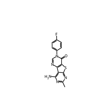 Cc1nc(N)c2c(n1)sc1c(=O)n(-c3ccc(F)cc3)cnc12